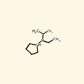 CCN(C(C)C)[SiH]1CCCC1